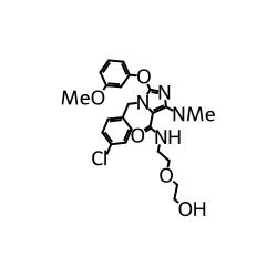 CNc1nc(Oc2cccc(OC)c2)n(Cc2ccc(Cl)cc2)c1C(=O)NCCOCCO